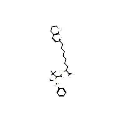 CC1(C)SCN(S(=O)(=O)c2ccccc2)C1C(=O)NC(CCCCCCCc1ccc2c(n1)NCCC2)C(=O)O